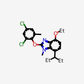 CCOc1ccc(C(CC)CC)c2c1nc(Oc1c(C)cc(Cl)cc1Cl)n2C